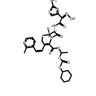 Cc1ncccc1/C=C\C1=C(C(=O)OC(C)OC(=O)OC2CCCCC2)N2C(=O)[C@@H](NC(=O)/C(=N\O)c3csc(N)n3)[C@H]2SC1